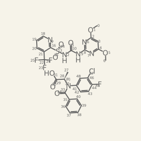 COc1cc(OC)nc(NC(=O)NS(=O)(=O)c2ncccc2C(F)(F)F)n1.C[C@H](C(=O)O)N(C(=O)c1ccccc1)c1ccc(F)c(Cl)c1